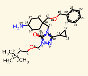 C[Si](C)(C)CCOCn1nc(C2CC2)n(CC2(COCc3ccccc3)CCC(N)CC2)c1=O